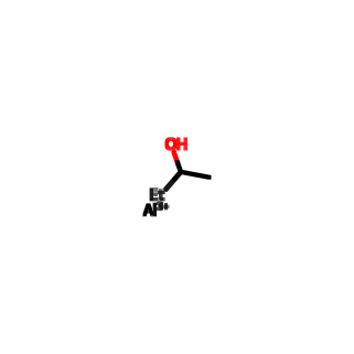 CCC(C)O.[Al+3]